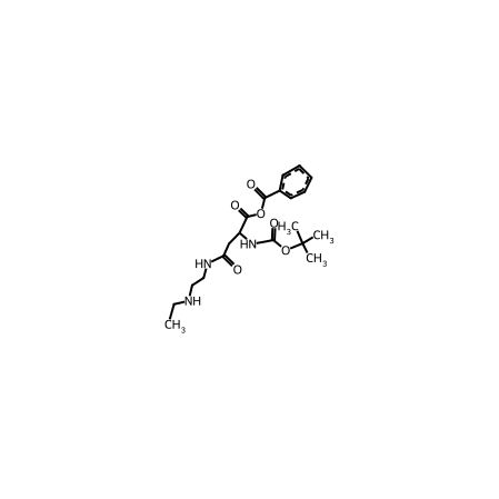 CCNCCNC(=O)CC(NC(=O)OC(C)(C)C)C(=O)OC(=O)c1ccccc1